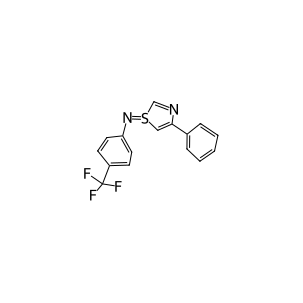 FC(F)(F)c1ccc(N=S2C=NC(c3ccccc3)=C2)cc1